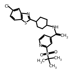 C=C(NC1CCC(c2nc3cc(Cl)ccc3s2)CC1)c1ccnc(S(=O)(=O)C(C)(C)C)c1